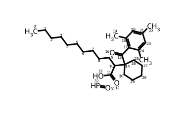 CCCCCCCCCCC(C(=O)O)C1(C(=O)c2c(C)cc(C)cc2C)CCCCC1.O=P